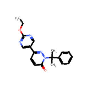 CC(C)(c1ccccc1)n1nc(-c2cnc(OCC(F)(F)F)nc2)ccc1=O